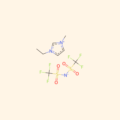 CCn1cc[n+](C)c1.O=S(=O)([N-]S(=O)(=O)C(F)(F)F)C(F)(F)F